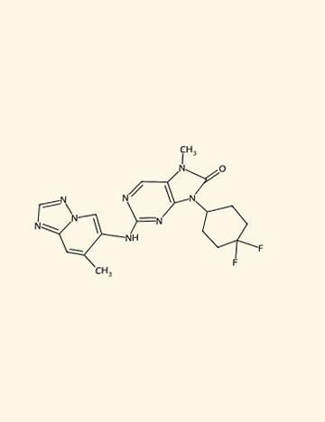 Cc1cc2ncnn2cc1Nc1ncc2c(n1)n(C1CCC(F)(F)CC1)c(=O)n2C